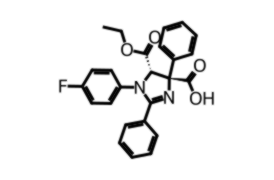 CCOC(=O)[C@H]1N(c2ccc(F)cc2)C(c2ccccc2)=N[C@@]1(C(=O)O)c1ccccc1